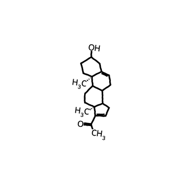 CC(=O)C1=CCC2C3CC=C4CC(O)CC[C@]4(C)C3CC[C@]12C